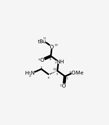 COC(=O)[C@H](CCN)NC(=O)OC(C)(C)C